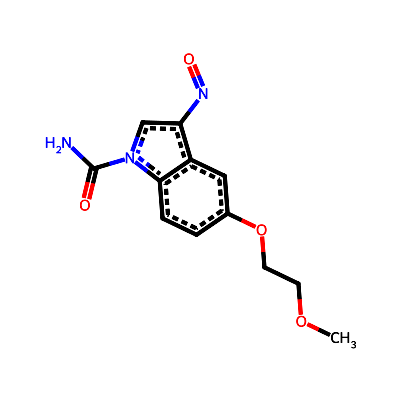 COCCOc1ccc2c(c1)c(N=O)cn2C(N)=O